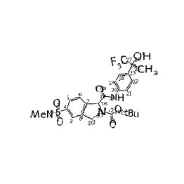 CNS(=O)(=O)c1ccc2c(c1)CN(C(=O)OC(C)(C)C)C2C(=O)Nc1ccc(C(C)(O)C(F)(F)F)cc1